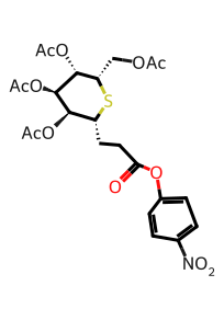 CC(=O)OC[C@@H]1S[C@H](CCC(=O)Oc2ccc([N+](=O)[O-])cc2)[C@@H](OC(C)=O)[C@@H](OC(C)=O)[C@@H]1OC(C)=O